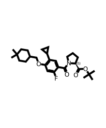 CC1(C)CCC(COc2cc(F)c(C(=O)N3CCC[C@H]3C(=O)OC(C)(C)C)cc2C2CC2)CC1